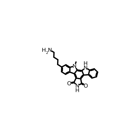 Cn1c2cc(CCCCN)ccc2c2c3c(c4c5ccccc5[nH]c4c21)C(=O)NC3=O